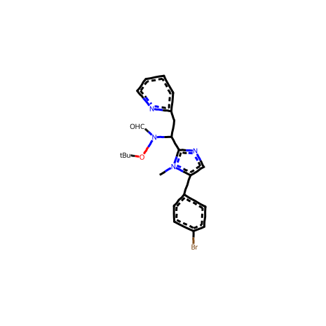 Cn1c(-c2ccc(Br)cc2)cnc1C(Cc1ccccn1)N(C=O)OC(C)(C)C